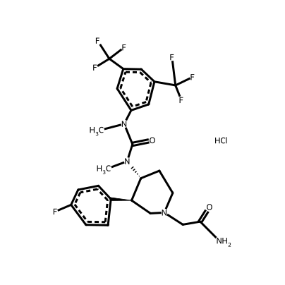 CN(C(=O)N(C)[C@@H]1CCN(CC(N)=O)C[C@H]1c1ccc(F)cc1)c1cc(C(F)(F)F)cc(C(F)(F)F)c1.Cl